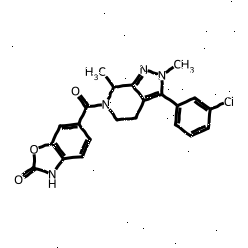 CC1c2nn(C)c(-c3cccc(Cl)c3)c2CCN1C(=O)c1ccc2[nH]c(=O)oc2c1